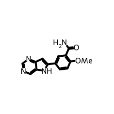 COc1ccc(-c2cc3ncncc3[nH]2)cc1C(N)=O